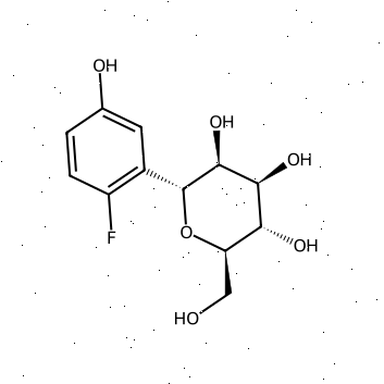 OC[C@H]1O[C@H](c2cc(O)ccc2F)[C@@H](O)[C@@H](O)[C@@H]1O